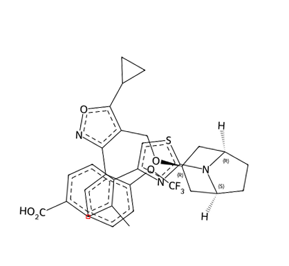 Cc1cc(C(=O)O)ccc1-c1csc(N2[C@@H]3CC[C@H]2C[C@@H](OCc2c(-c4ccccc4OC(F)(F)F)noc2C2CC2)C3)n1